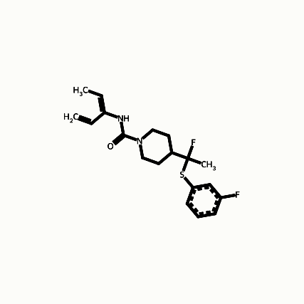 C=C/C(=C\C)NC(=O)N1CCC(C(C)(F)Sc2cccc(F)c2)CC1